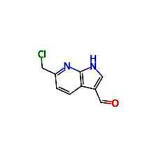 O=Cc1c[nH]c2nc(CCl)ccc12